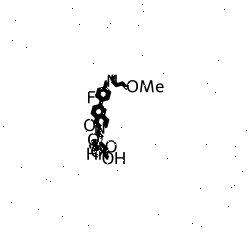 COCCCN(C)Cc1ccc(-c2ccc3c(=O)n(CC[C@H](C(=O)NO)S(C)(=O)=O)ccc3c2)c(F)c1